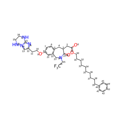 O=C(CC1Cc2ccc(OCCc3cn4c(n3)NCCN4)cc2CN(CC(F)(F)F)C1=O)OCCCCCCCCCCc1ccccc1